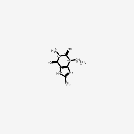 Cc1nc2c([nH]1)c(=O)n(C)c(=O)n2C.O